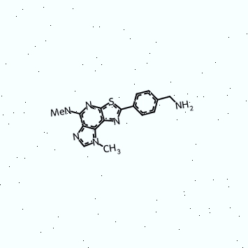 CNc1nc2sc(-c3ccc(CN)cc3)nc2c2c1ncn2C